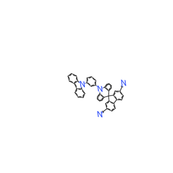 N#Cc1ccc2c(c1)C1(c3cc(C#N)ccc3-2)c2ccccc2N(c2cccc(-n3c4ccccc4c4ccccc43)c2)c2ccccc21